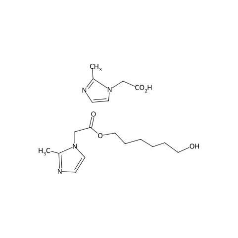 Cc1nccn1CC(=O)O.Cc1nccn1CC(=O)OCCCCCCO